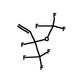 C=CC(F)(OC(F)(F)F)C(F)(F)F